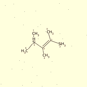 CC([SiH3])=C(C)[SiH](C)C